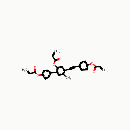 C=CC(=O)Oc1ccc(C#Cc2cc(OC(=O)C=C)c(-c3ccc(OC(=O)C=C)cc3)cc2C)cc1